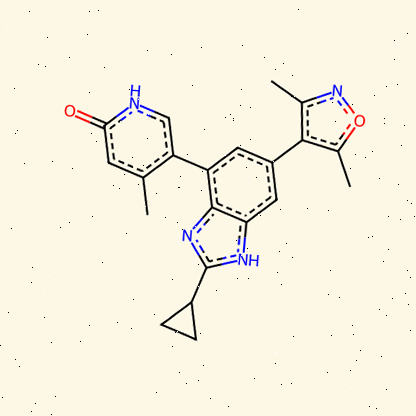 Cc1cc(=O)[nH]cc1-c1cc(-c2c(C)noc2C)cc2[nH]c(C3CC3)nc12